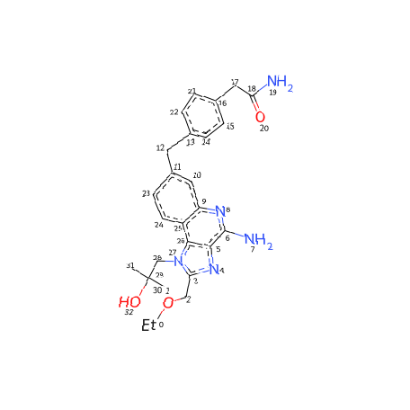 CCOCc1nc2c(N)nc3cc(Cc4ccc(CC(N)=O)cc4)ccc3c2n1CC(C)(C)O